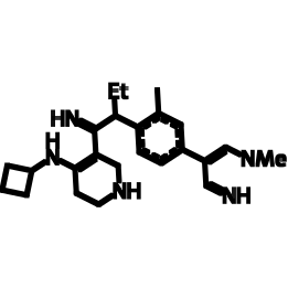 CCC(C(=N)C1=C(NC2CCC2)CCNC1)c1ccc(/C(C=N)=C/NC)cc1C